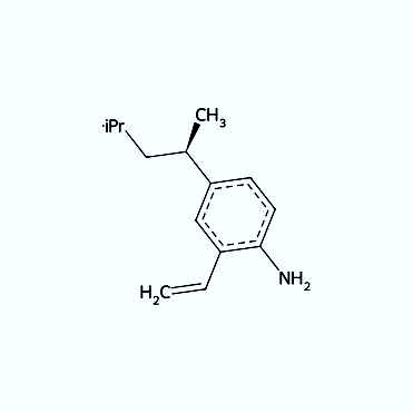 C=Cc1cc([C@H](C)C[C](C)C)ccc1N